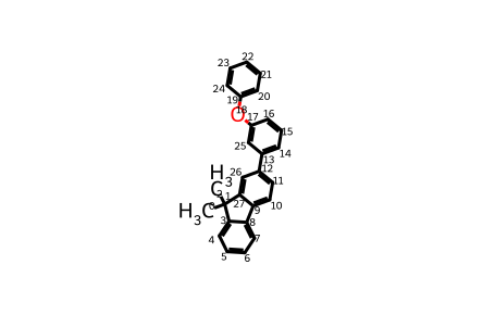 CC1(C)c2ccccc2-c2ccc(-c3cccc(Oc4ccccc4)c3)cc21